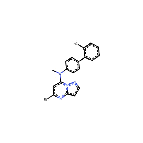 CCc1cc(N(C)c2ccc(-c3ccccc3C#N)cc2)n2nccc2n1